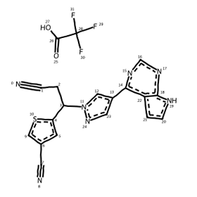 N#CCC(c1cc(C#N)cs1)n1cc(-c2ncnc3[nH]ccc23)cn1.O=C(O)C(F)(F)F